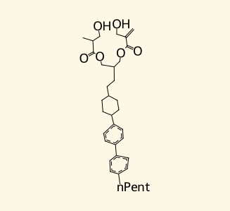 C=C(CO)C(=O)OCC(CCC1CCC(c2ccc(-c3ccc(CCCCC)cc3)cc2)CC1)COC(=O)C(C)CO